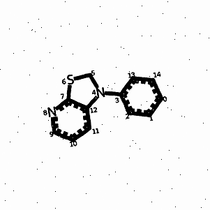 c1ccc(N2CSc3ncccc32)cc1